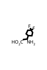 N[C@H](CC(=O)O)C1CCC(F)(F)CC1